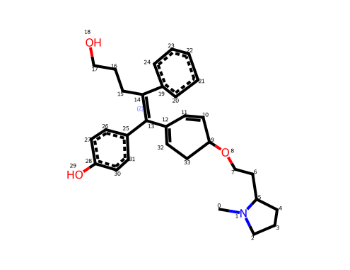 CN1CCCC1CCOC1C=CC(/C(=C(/CCCO)c2ccccc2)c2ccc(O)cc2)=CC1